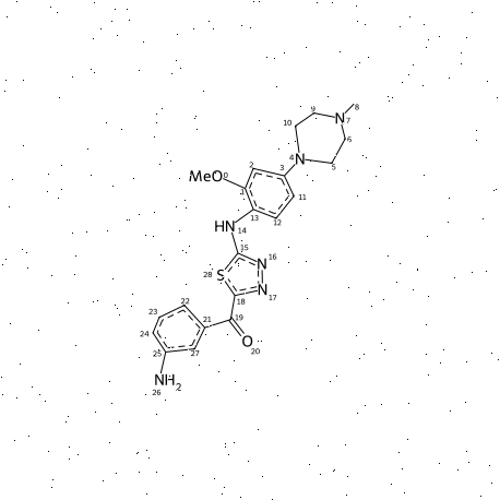 COc1cc(N2CCN(C)CC2)ccc1Nc1nnc(C(=O)c2cccc(N)c2)s1